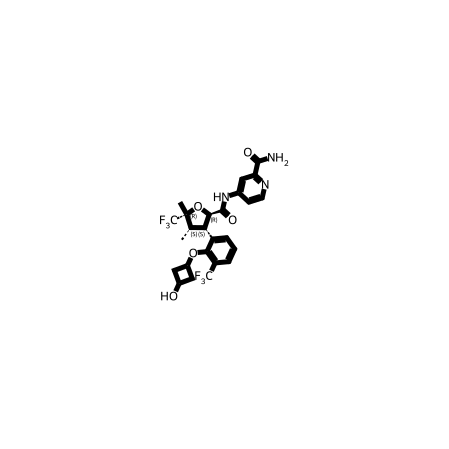 C[C@H]1[C@@H](c2cccc(C(F)(F)F)c2OC2CC(O)C2)[C@H](C(=O)Nc2ccnc(C(N)=O)c2)O[C@@]1(C)C(F)(F)F